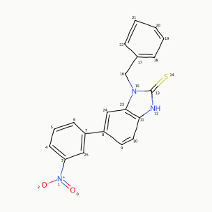 O=[N+]([O-])c1cccc(-c2ccc3[nH]c(=S)n(Cc4ccccc4)c3c2)c1